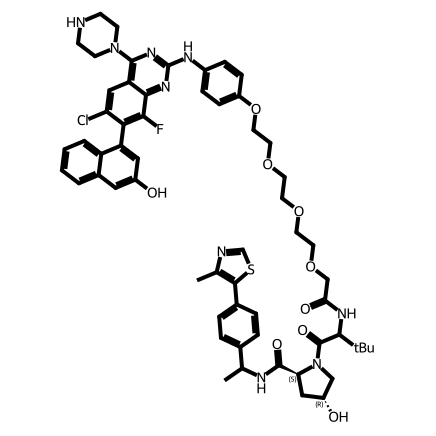 Cc1ncsc1-c1ccc(C(C)NC(=O)[C@@H]2C[C@@H](O)CN2C(=O)C(NC(=O)COCCOCCOCCOc2ccc(Nc3nc(N4CCNCC4)c4cc(Cl)c(-c5cc(O)cc6ccccc56)c(F)c4n3)cc2)C(C)(C)C)cc1